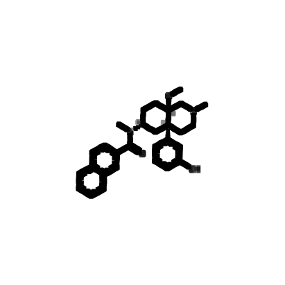 CO[C@]12CC[C@@H](N(C)C(=O)c3ccc4ccccc4c3)C[C@]1(c1cccc(O)c1)CCN(C)C2